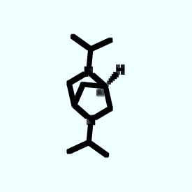 CC(C)N1C[C@H]2CC1CN2C(C)C